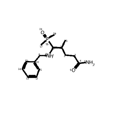 CC(CCC(N)=O)C(NCc1ccccc1)P(C)(C)=O